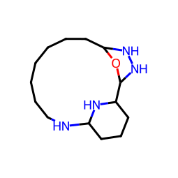 C1CCCNC2CCCC(N2)C2NNC(CCC1)O2